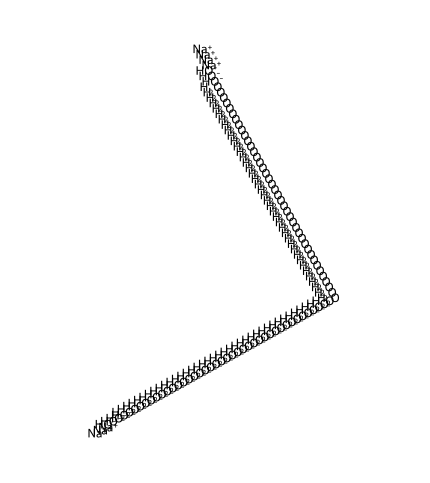 O.O.O.O.O.O.O.O.O.O.O.O.O.O.O.O.O.O.O.O.O.O.O.O.O.O.O.O.O.O.O.O.O.O.O.O.O.O.O.O.O.O.O.O.O.O.O.O.O.O.O.O.O.O.O.O.O.O.O.O.O.O.O.O.O.O.O.O.O.O.O.O.O.O.O.O.O.O.[Na+].[Na+].[Na+].[Na+].[Na+].[Na+].[Na+].[OH-].[OH-].[OH-].[OH-].[OH-].[OH-].[OH-]